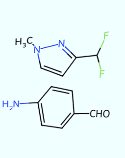 Cn1ccc(C(F)F)n1.Nc1ccc(C=O)cc1